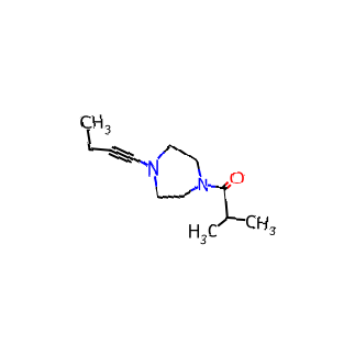 CCC#CN1CCN(C(=O)C(C)C)CC1